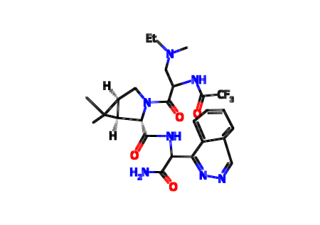 CCN(C)CC(NC(=O)C(F)(F)F)C(=O)N1C[C@H]2[C@@H]([C@H]1C(=O)NC(C(N)=O)c1nncc3ccccc13)C2(C)C